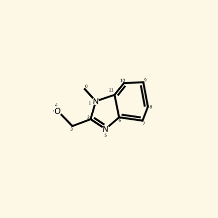 Cn1c(C[O])nc2ccccc21